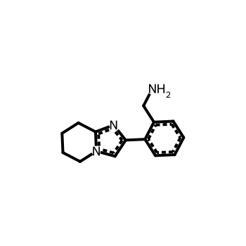 NCc1ccccc1-c1cn2c(n1)CCCC2